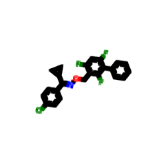 Fc1cc(F)c(-c2ccccc2)c(F)c1CO/N=C(/c1ccc(Cl)cc1)C1CC1